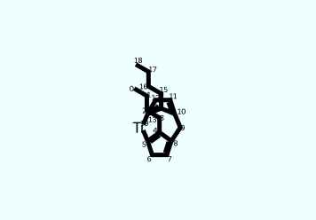 CCCCC1=[C]2CC=C1CC1=CC[C](=C1CCCC)[Ti]2